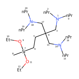 CCCN(CCC)CC(CC[Si](C)(OCC)OCC)(CN(CCC)CCC)CN(CCC)CCC